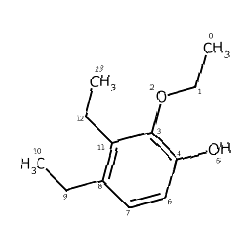 CCOc1c(O)ccc(CC)c1CC